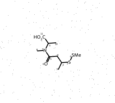 CSSC(C)CC(=O)N(C)C(C)C(=O)O